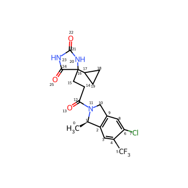 C[C@@H]1c2cc(C(F)(F)F)c(Cl)cc2CN1C(=O)CCC1(C2CC2)NC(=O)NC1=O